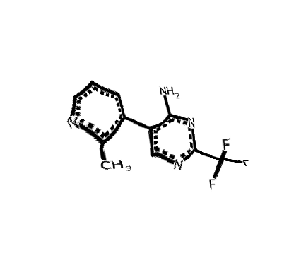 Cc1ncccc1-c1cnc(C(F)(F)F)nc1N